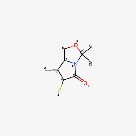 CC1C(F)C(=O)N2C1COC2(C)C